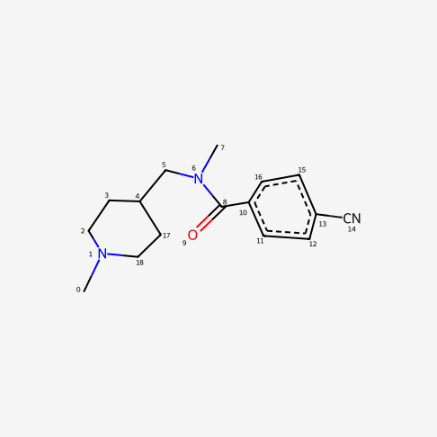 CN1CCC(CN(C)C(=O)c2ccc(C#N)cc2)CC1